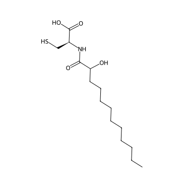 CCCCCCCCCCC(O)C(=O)N[C@@H](CS)C(=O)O